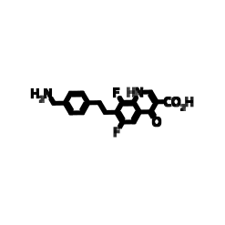 NCc1ccc(CCc2c(F)cc3c(=O)c(C(=O)O)c[nH]c3c2F)cc1